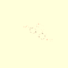 Oc1ccc2c(c1)OC1(COC1)c1cc(O)ccc1-2